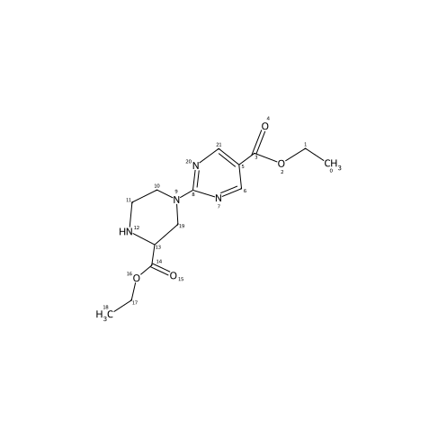 CCOC(=O)c1cnc(N2CCNC(C(=O)OCC)C2)nc1